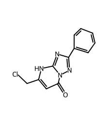 O=c1cc(CCl)[nH]c2nc(-c3ccccc3)nn12